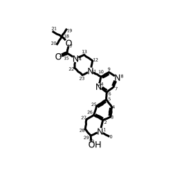 CN1c2ccc(-c3cncc(N4CCN(C(=O)OC(C)(C)C)CC4)n3)cc2CCC1O